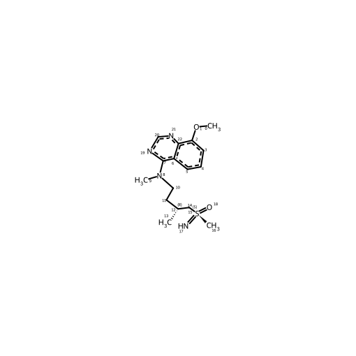 COc1cccc2c(N(C)CC[C@@H](C)C[S@@](C)(=N)=O)ncnc12